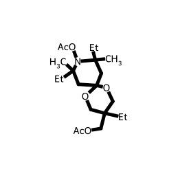 CCC1(COC(C)=O)COC2(CC(C)(CC)N(OC(C)=O)C(C)(CC)C2)OC1